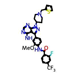 COc1cc(-c2nn(C3CCN(Cc4cccs4)CC3)c3ncnc(N)c23)ccc1NC(=O)c1ccc(C(F)(F)F)cc1F